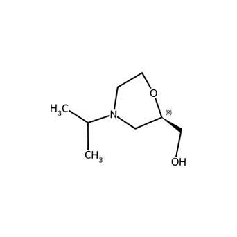 CC(C)N1CCO[C@@H](CO)C1